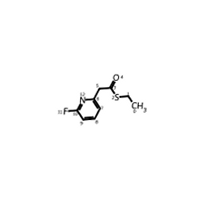 CCSC(=O)Cc1cccc(F)n1